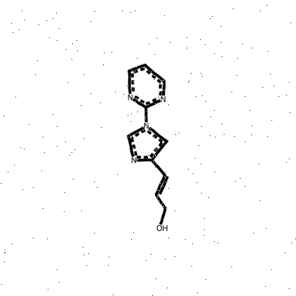 OC/C=C/c1cn(-c2ncccn2)cn1